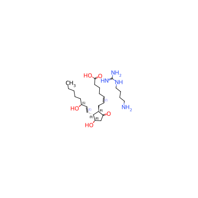 CCCCC[C@H](O)/C=C/[C@H]1[C@H](O)CC(=O)[C@@H]1C/C=C\CCCC(=O)O.N=C(N)NCCCCN